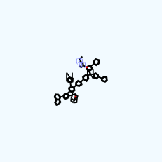 C=C/C(=C\C=C/C)c1cc(-c2ccccc2)cc(N(c2ccc(-c3ccccc3)cc2)c2ccc(-c3ccc(-c4cc5c(cc4-c4ccncc4)-c4cc(-c6cccc7ccccc67)ccc4C54C5CC6CC(C5)CC4C6)cc3)cc2)c1